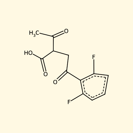 CC(=O)C(CC(=O)c1c(F)cccc1F)C(=O)O